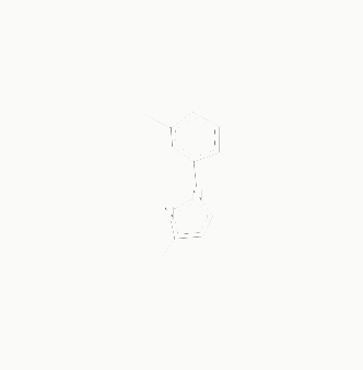 Cc1cccc(-n2ccc(C)n2)c1